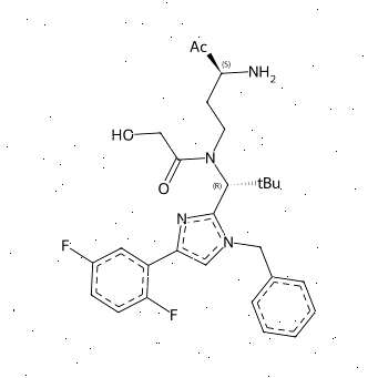 CC(=O)[C@@H](N)CCN(C(=O)CO)[C@@H](c1nc(-c2cc(F)ccc2F)cn1Cc1ccccc1)C(C)(C)C